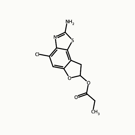 CCC(=O)OC1Cc2c(cc(Cl)c3nc(N)sc23)O1